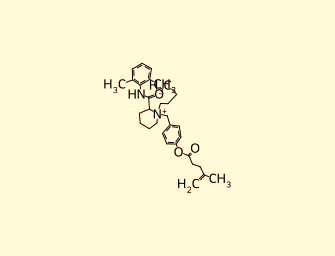 C=C(C)CCC(=O)Oc1ccc(C[N+]2(CCCC)CCCCC2C(=O)Nc2c(C)cccc2C)cc1